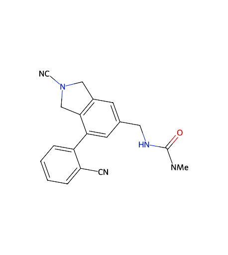 CNC(=O)NCc1cc2c(c(-c3ccccc3C#N)c1)CN(C#N)C2